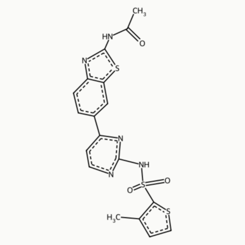 CC(=O)Nc1nc2ccc(-c3ccnc(NS(=O)(=O)c4sccc4C)n3)cc2s1